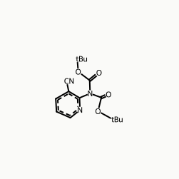 CC(C)(C)OC(=O)N(C(=O)OC(C)(C)C)c1ncccc1C#N